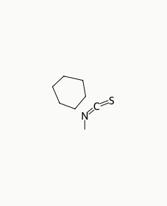 C1CCCCC1.CN=C=S